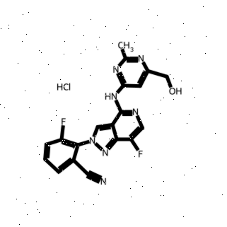 Cc1nc(CO)cc(Nc2ncc(F)c3nn(-c4c(F)cccc4C#N)cc23)n1.Cl